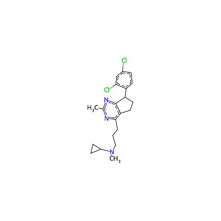 Cc1nc(CCCN(C)C2CC2)c2c(n1)C(c1ccc(Cl)cc1Cl)CC2